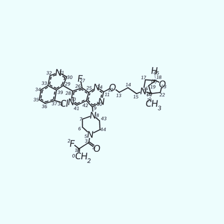 C=C(F)C(=O)N1CCN(c2nc(OCCCN3C[C@@H]4C[C@@]3(C)CO4)nc3c(F)c(-c4cncc5cccc(Cl)c45)ncc23)CC1